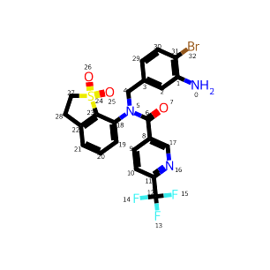 Nc1cc(CN(C(=O)c2ccc(C(F)(F)F)nc2)c2cccc3c2S(=O)(=O)CC3)ccc1Br